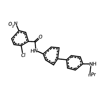 CCCNc1ccc(-c2ccc(NC(=O)c3cc([N+](=O)[O-])ccc3Cl)cc2)cc1